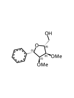 CO[C@@H]1[C@H](OC)[C@@H](CO)O[C@H]1c1ccccc1